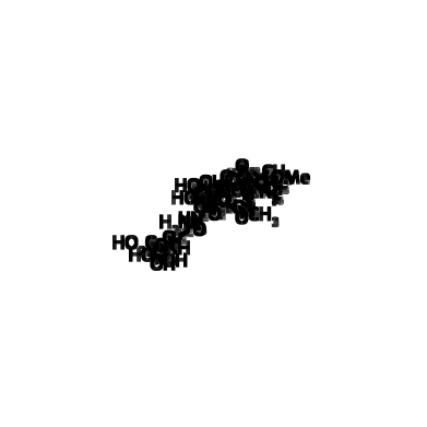 CC[C@@]1(OC(=O)N(C)CCN(C)C(=O)OCc2ccc(O[C@@H]3O[C@H](C(=O)O)[C@@H](O)[C@H](O)[C@H]3O)c(NC(=O)CCNC(=O)[C@@H](N)CCCC(=O)N[C@@H]3O[C@H](C(=O)O)[C@@H](O)[C@H](O)[C@H]3O)c2)C(=O)OCc2c1cc1n(c2=O)Cc2c-1nc1cc(F)c(F)c(OC)c1c2C